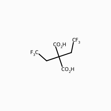 O=C(O)C(CC(F)(F)F)(CC(F)(F)F)C(=O)O